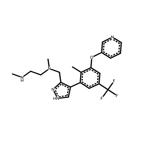 CNCCN(C)Cc1n[nH]cc1-c1cc(C(F)(F)F)cc(Oc2cccnc2)c1C